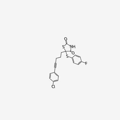 O=C1NC(=O)C(CCCC#Cc2ccc(Cl)cc2)(Sc2ccc(F)cc2)S1